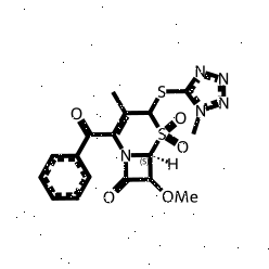 COC1C(=O)N2C(C(=O)c3ccccc3)=C(C)C(Sc3nnnn3C)S(=O)(=O)[C@@H]12